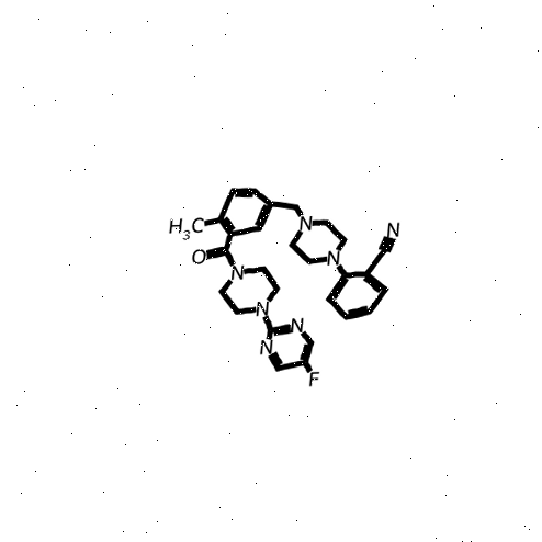 Cc1ccc(CN2CCN(c3ccccc3C#N)CC2)cc1C(=O)N1CCN(c2ncc(F)cn2)CC1